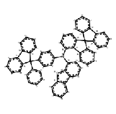 c1ccc(C2(c3ccc(N(c4cccc5c4-c4ccccc4C54c5ccccc5-c5ccccc54)c4cccc5c4sc4ccccc45)cc3)c3ccccc3-c3ccccc32)cc1